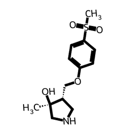 C[C@@]1(O)CNC[C@H]1COc1ccc(S(C)(=O)=O)cc1